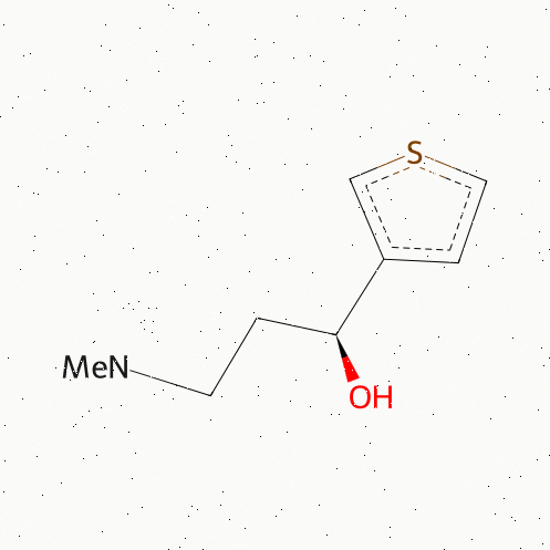 CNCC[C@H](O)c1ccsc1